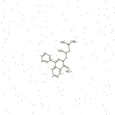 CCCCN(CCCC)CC(O)Cn1cc(-c2ccccc2)c2ccccc2c1=O.Cl